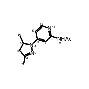 CC(=O)Nc1cc(N2N=C(C)CC2C)ccn1